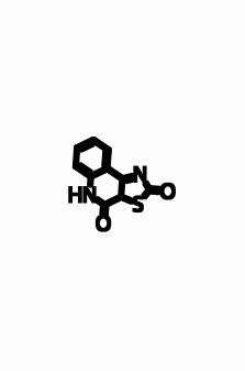 O=C1N=C2c3ccccc3NC(=O)C2S1